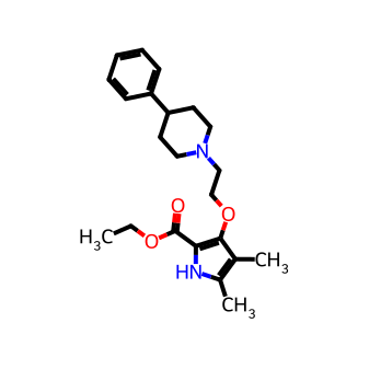 CCOC(=O)c1[nH]c(C)c(C)c1OCCN1CCC(c2ccccc2)CC1